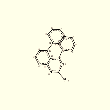 Nc1nc(-c2ccccn2)c2c(-c3ccccn3)cccc2n1